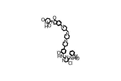 COc1cc(C2CCN(C3CCN(CC4CCN(c5ccc6c(c5)CN(C5CCC(=O)NC5=O)C6=O)CC4)CC3)CC2)ccc1Nc1ncc(Cl)c(Nc2ccccc2P(C)(C)=O)n1